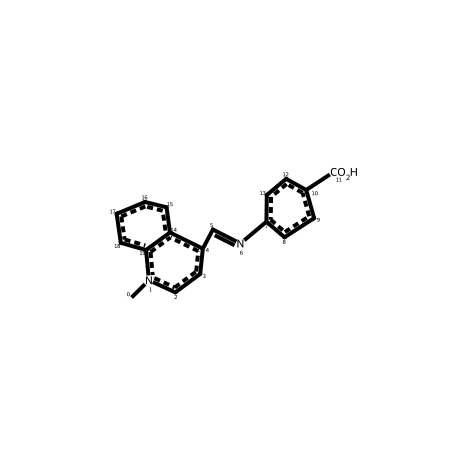 C[n+]1ccc(C=Nc2ccc(C(=O)O)cc2)c2ccccc21